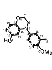 COc1ncc(N2CCOc3cnc(O)cc32)cc1C